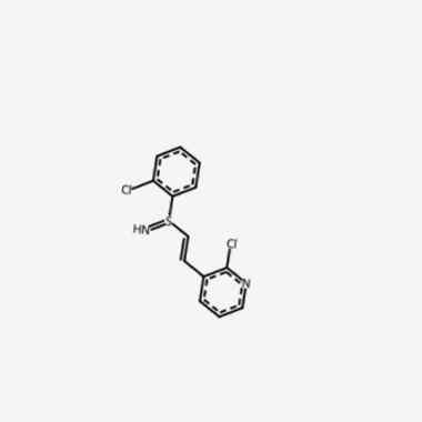 N=S(/C=C/c1cccnc1Cl)c1ccccc1Cl